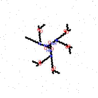 CCCCCCCCCCCCN(CCCCCCCCC(=O)OC(CC)CCCCC)CCCNC(=O)c1cc(C(=O)NCCCN(CCCCCCCCC(=O)OC(CC)CCCCC)CCCCCCCCC(=O)OC(CC)CCCCC)cc(C(=O)NCCCN(CCCCCCCCC(=O)OC(CC)CCCCC)CCCCCCCCC(=O)OC(CC)CCCCC)c1